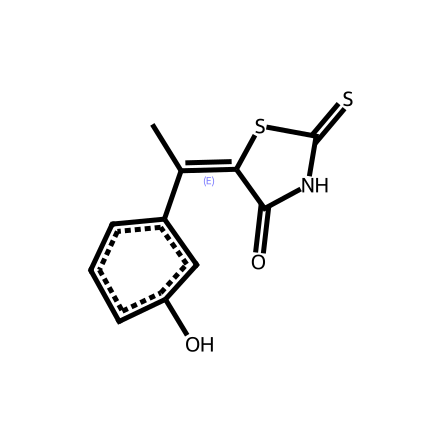 C/C(=C1\SC(=S)NC1=O)c1cccc(O)c1